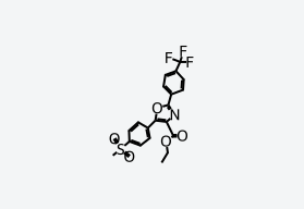 CCOC(=O)c1nc(-c2ccc(C(F)(F)F)cc2)oc1-c1ccc(S(C)(=O)=O)cc1